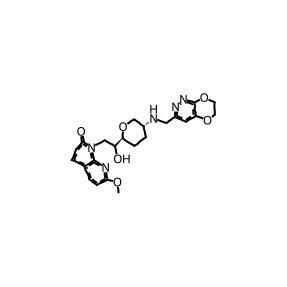 COc1ccc2ccc(=O)n(CC(O)[C@@H]3CC[C@@H](NCc4cc5c(nn4)OCCO5)CO3)c2n1